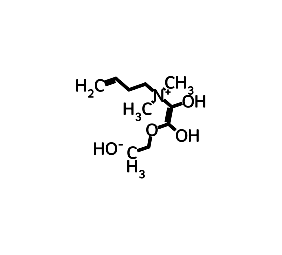 C=CCC[N+](C)(C)C(O)=C(O)OCC.[OH-]